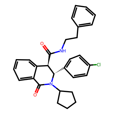 O=C(NCCc1ccccc1)[C@@H]1c2ccccc2C(=O)N(C2CCCC2)[C@H]1c1ccc(Cl)cc1